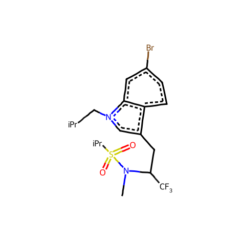 CC(C)Cn1cc(CC(N(C)S(=O)(=O)C(C)C)C(F)(F)F)c2ccc(Br)cc21